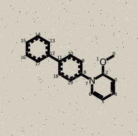 COC1C=CC=CN1c1ccc(-c2ccccc2)cc1